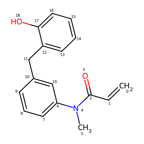 C=CC(=O)N(C)c1cccc(Cc2ccccc2O)c1